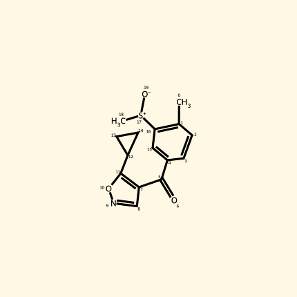 Cc1ccc(C(=O)c2cnoc2C2CC2)cc1[S+](C)[O-]